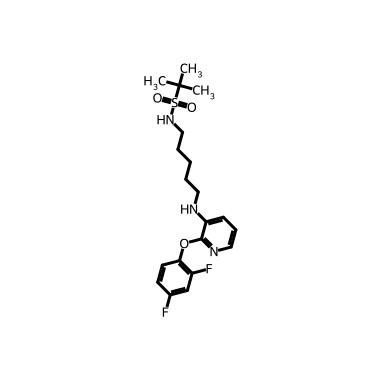 CC(C)(C)S(=O)(=O)NCCCCCNc1cccnc1Oc1ccc(F)cc1F